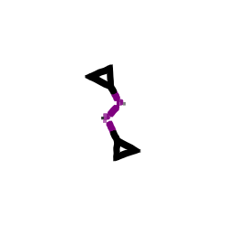 C1CC1[P][P]C1CC1